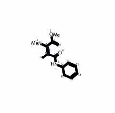 C=C(OC)/C(NC)=C(/C)C(=O)NC1C=CC=CC1